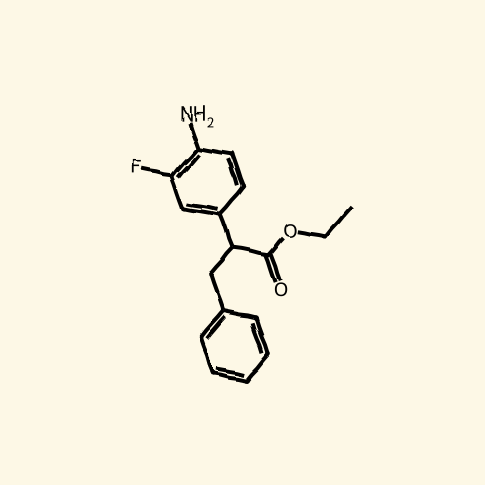 CCOC(=O)C(Cc1ccccc1)c1ccc(N)c(F)c1